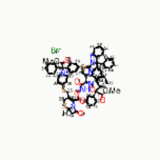 COC(=O)C(O/N=C(\C(=O)NOC(=O)C1=C(CSc2cc[n+](C(C(=O)OC)(c3ccccc3)c3ccccc3)cc2)CS[C@@H]2CC(=O)N12)c1csc(NC(c2ccccc2)(c2ccccc2)c2ccccc2)n1)(c1ccccc1)c1ccccc1.[Br-]